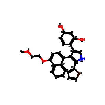 COCCOc1ccc(-c2c(-c3ccc(O)cc3O)c[nH]c2-c2cccs2)c2ccccc12